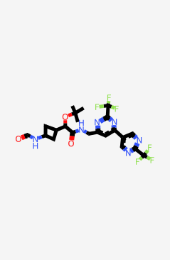 CC(C)(C)OC(C(=O)NCc1cc(-c2cnc(C(F)(F)F)nc2)nc(C(F)(F)F)n1)C1CC(NC=O)C1